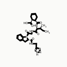 CC[C@H](C)[C@H](NC(=O)[C@@H]1CC=CC[C@@H]1C(=O)O)C(=O)NCC(=O)N1c2ccccc2C[C@H]1C(=O)NCc1nn[nH]n1